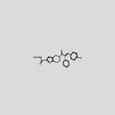 O=C(NO)c1cc2c(s1)CCN(C(=O)/C(=C/c1ccc(F)cc1)c1ccccc1)C2